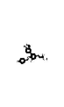 O=C(O)CCc1cc(F)c(OCc2ccc(F)cc2)c(-c2ccc3[nH]ncc3c2)c1